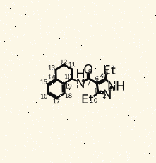 CCc1n[nH]c(CC)c1C(=O)N[C@@H]1CCCc2ccccc21